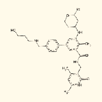 CCC1CC(Nc2cc(-c3ccc(CNCCCO)cc3)cc(C(=O)NCc3c(C)cc(C)[nH]c3=O)c2C)CCO1